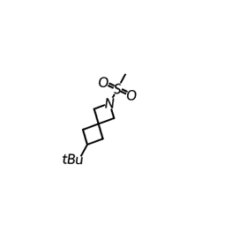 CC(C)(C)C1CC2(C1)CN(S(C)(=O)=O)C2